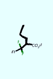 C=CCC(C(=O)O)C(F)(F)CC